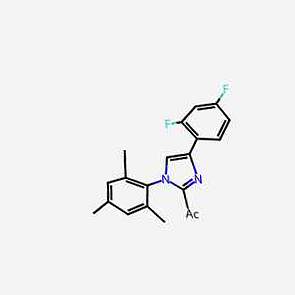 CC(=O)c1nc(-c2ccc(F)cc2F)cn1-c1c(C)cc(C)cc1C